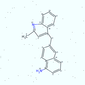 Cc1cc(Cc2ccc3c(N)cccc3c2)c2ccccc2n1